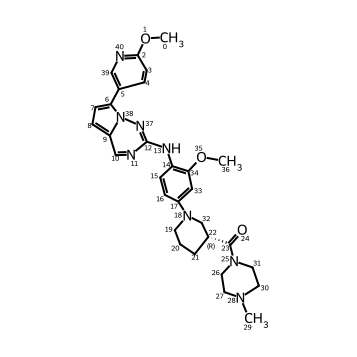 COc1ccc(-c2ccc3cnc(Nc4ccc(N5CCC[C@@H](C(=O)N6CCN(C)CC6)C5)cc4OC)nn23)cn1